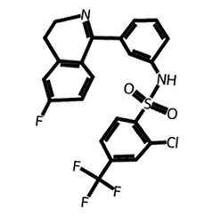 O=S(=O)(Nc1cccc(C2=NCCc3cc(F)ccc32)c1)c1ccc(C(F)(F)F)cc1Cl